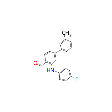 Cc1cccc(-c2ccc(C=O)c(Nc3ccc(F)cc3)c2)c1